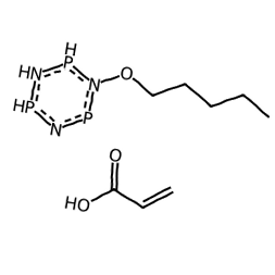 C=CC(=O)O.CCCCCOn1pn[pH][nH][pH]1